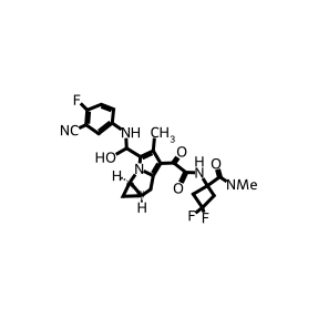 CNC(=O)C1(NC(=O)C(=O)c2c(C)c(C(O)Nc3ccc(F)c(C#N)c3)n3c2C[C@H]2C[C@H]23)CC(F)(F)C1